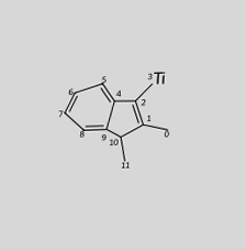 CC1=[C]([Ti])c2ccccc2C1C